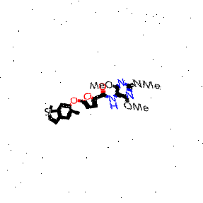 CNc1nc(OC)c(NC(=O)c2ccc(Oc3cc4c(cc3C)C=C[Si]4(C)C)o2)c(OC)n1